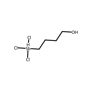 OCCC[CH2][SbH]([Cl])([Cl])[Cl]